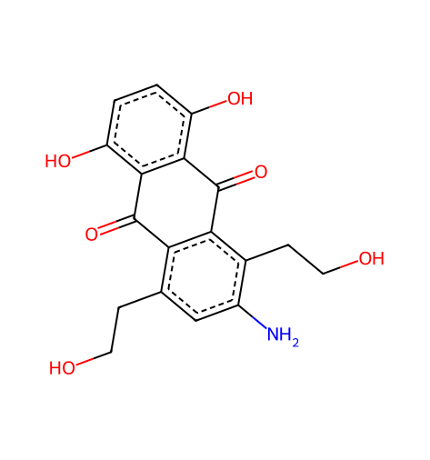 Nc1cc(CCO)c2c(c1CCO)C(=O)c1c(O)ccc(O)c1C2=O